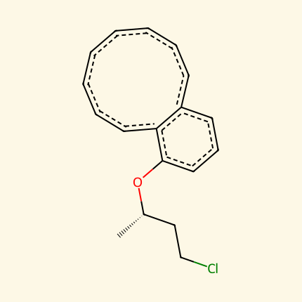 C[C@@H](CCCl)Oc1cccc2ccccccccc12